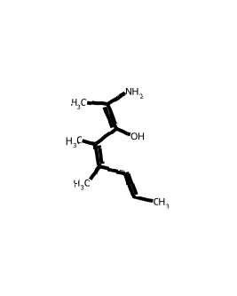 C/C=C/C(C)=C(C)\C(O)=C(/C)N